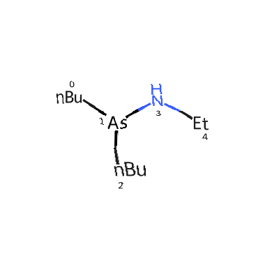 CCCC[As](CCCC)NCC